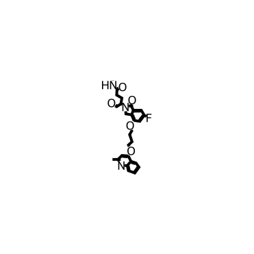 CNC(=O)CCC(C=O)N1Cc2c(OCCCCOc3cc(C)nc4ccccc34)cc(F)cc2C1=O